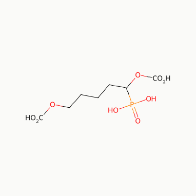 O=C(O)OCCCCC(OC(=O)O)P(=O)(O)O